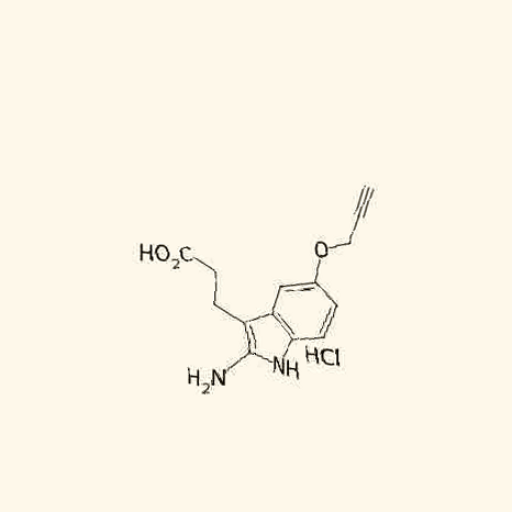 C#CCOc1ccc2[nH]c(N)c(CCC(=O)O)c2c1.Cl